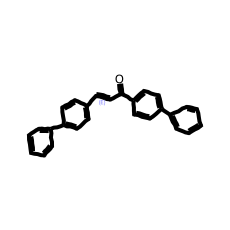 O=C(/C=C/c1ccc(-c2ccccc2)cc1)c1ccc(-c2ccccc2)cc1